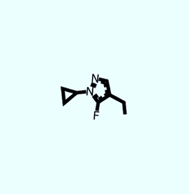 CCc1cnn(C2CC2)c1F